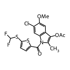 COc1cc2c(OC(C)=O)c(C)n(C(=O)c3ccc(SC(F)F)s3)c2cc1Cl